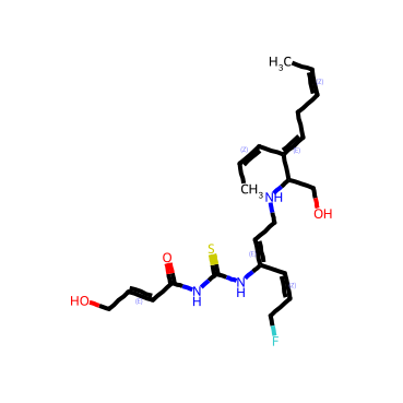 C/C=C\C/C=C(\C=C/C)C(CO)NC/C=C(\C=C/CF)NC(=S)NC(=O)/C=C/CO